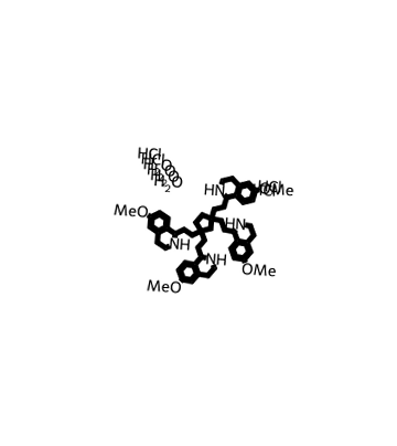 COc1ccc2c(c1)CCNC2CCC1(CCC2NCCc3cc(OC)ccc32)CCC(CCC2NCCc3cc(OC)ccc32)(CCC2NCCc3cc(OC)ccc32)C1.Cl.Cl.Cl.Cl.O.O.O.O